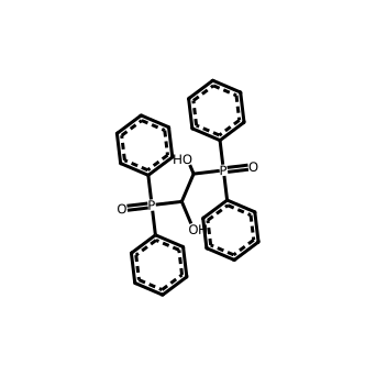 O=P(c1ccccc1)(c1ccccc1)C(O)C(O)P(=O)(c1ccccc1)c1ccccc1